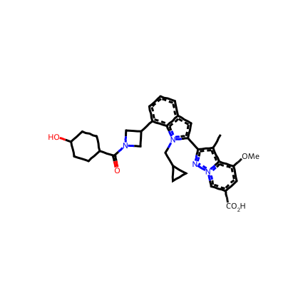 COc1cc(C(=O)O)cn2nc(-c3cc4cccc(C5CN(C(=O)C6CCC(O)CC6)C5)c4n3CC3CC3)c(C)c12